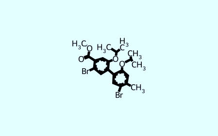 COC(=O)c1cc(OC(C)C)c(-c2cc(Br)c(C)cc2OC(C)C)cc1Br